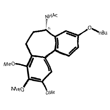 CCCCOc1ccc2c(c1)[C@@H](NC(C)=O)CCc1c-2cc(OC)c(OC)c1OC